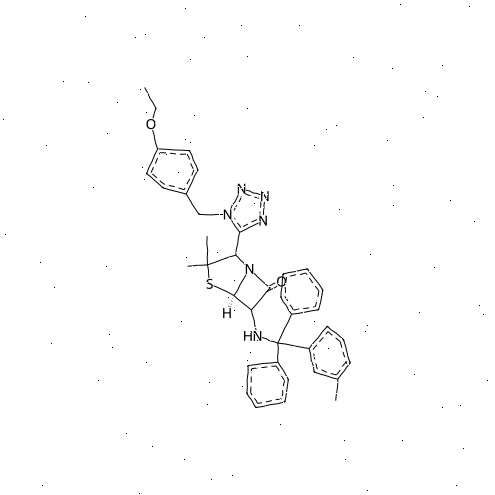 CCOc1ccc(Cn2nnnc2C2N3C(=O)C(NC(c4ccccc4)(c4ccccc4)c4cccc(C)c4)[C@H]3SC2(C)C)cc1